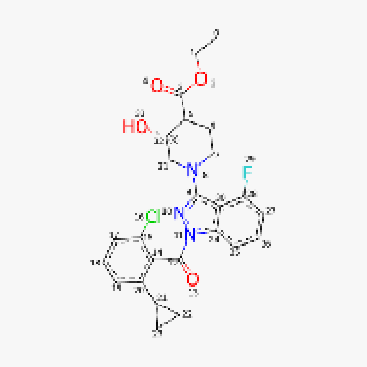 CCOC(=O)C1CCN(c2nn(C(=O)c3c(Cl)cccc3C3CC3)c3cccc(F)c23)C[C@@H]1O